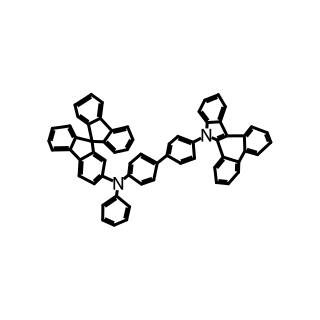 c1ccc(N(c2ccc(-c3ccc(-n4c5ccccc5c5c6ccccc6c6ccccc6c54)cc3)cc2)c2ccc3c(c2)C2(c4ccccc4-c4ccccc42)c2ccccc2-3)cc1